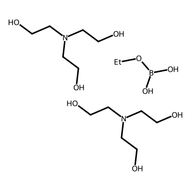 CCOB(O)O.OCCN(CCO)CCO.OCCN(CCO)CCO